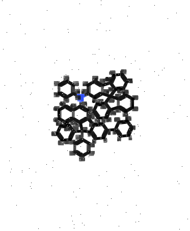 c1ccc(-c2ccc3c(c2)-c2cc(N(c4ccccc4)c4ccc5c(c4)C4(c6ccccc6-c6ccccc64)c4ccccc4-5)c4ccccc4c2C3(c2ccccc2)c2ccccc2)cc1